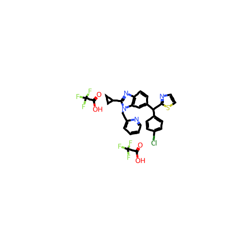 Clc1ccc(C(c2ccc3nc(C4CC4)n(Cc4ccccn4)c3c2)c2nccs2)cc1.O=C(O)C(F)(F)F.O=C(O)C(F)(F)F